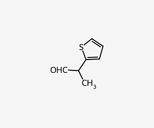 CC(C=O)c1cccs1